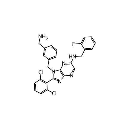 NCc1cccc(Cn2c(-c3c(Cl)cccc3Cl)nc3ncc(NCc4ccccc4F)nc32)c1